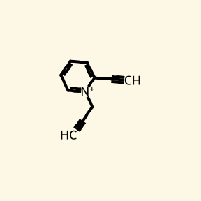 C#CC[n+]1ccccc1C#C